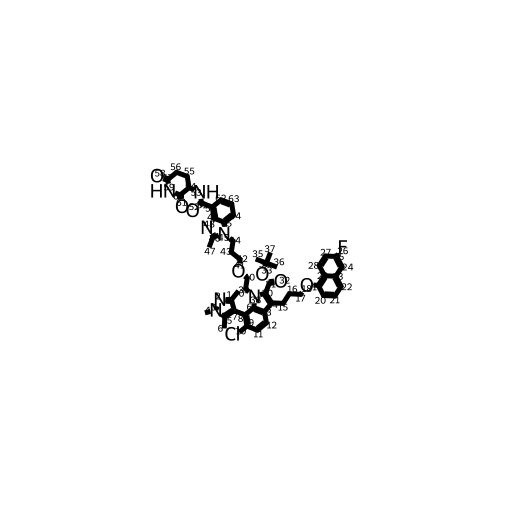 Cc1nn(C)c(C)c1-c1c(Cl)ccc2c(CCCOc3cccc4cc(F)ccc34)c(C(=O)OC(C)(C)C)n(CCOCCCn3c(C)nc4c(C(=O)NC5CCC(=O)NC5=O)cccc43)c12